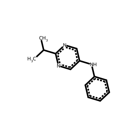 CC(C)c1ncc(Nc2ccccc2)cn1